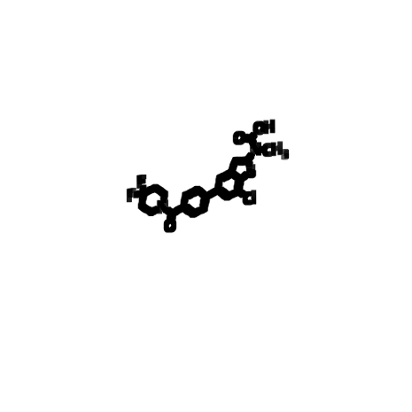 CN(C(=O)O)c1cc2cc(-c3ccc(C(=O)N4CCC(F)(F)CC4)cc3)cc(Cl)c2s1